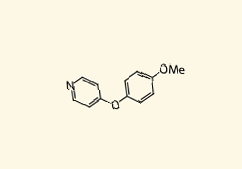 COc1ccc(Oc2ccncc2)cc1